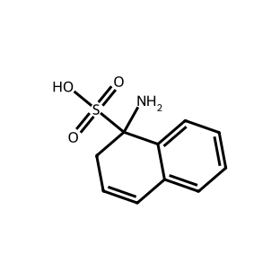 NC1(S(=O)(=O)O)CC=Cc2ccccc21